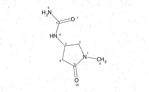 CN1CC(NC(N)=O)CC1=O